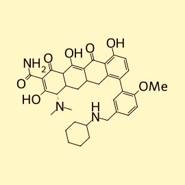 COc1ccc(CNC2CCCCC2)cc1-c1ccc(O)c2c1CC1CC3C(C(=O)C(C(N)=O)=C(O)[C@H]3N(C)C)C(O)=C1C2=O